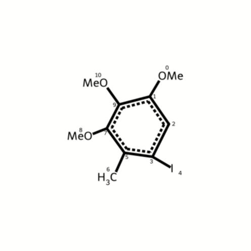 COc1cc(I)c(C)c(OC)c1OC